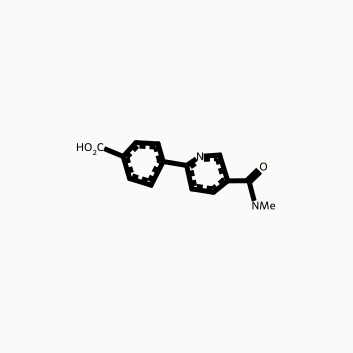 CNC(=O)c1ccc(-c2ccc(C(=O)O)cc2)nc1